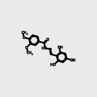 COc1ccc(C(=O)NN=Cc2c(O)cc(O)cc2O)cc1OC